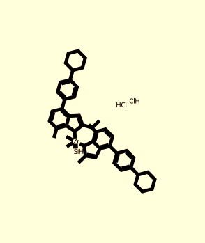 CCC1=Cc2c(-c3ccc(C4CCCCC4)cc3)ccc(C)c2[CH]1[Zr]([CH3])([CH3])(=[SiH2])[CH]1C(C)=Cc2c(-c3ccc(C4CCCCC4)cc3)ccc(C)c21.Cl.Cl